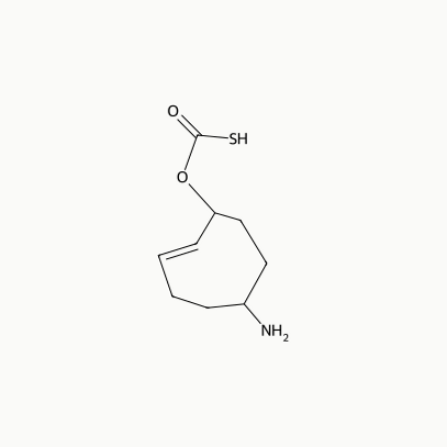 NC1CC/C=C/C(OC(=O)S)CC1